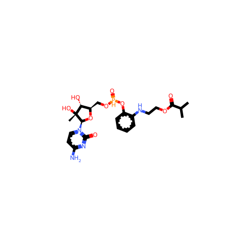 CC(C)C(=O)OCCNc1ccccc1O[PH](=O)OC[C@H]1O[C@@H](n2ccc(N)nc2=O)[C@](C)(O)[C@@H]1O